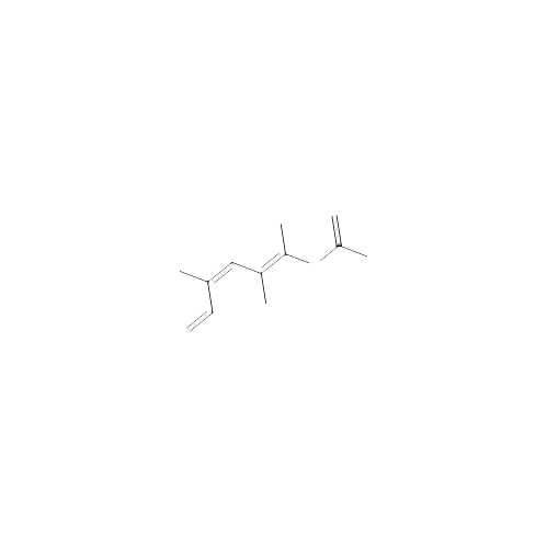 C=C/C(C)=C\C(C)=C(/C)SC(=C)C